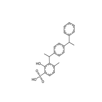 Cc1ccc(S(=O)(=O)O)c(O)c1C(C)c1ccc(C(C)c2ccccc2)cc1